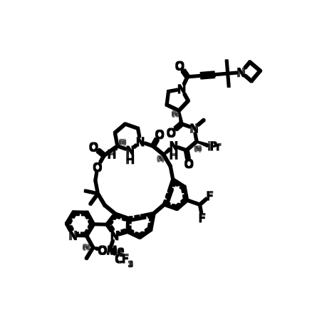 CO[C@@H](C)c1ncccc1-c1c2c3cc(ccc3n1CC(F)(F)F)-c1cc(cc(C(F)F)c1)C[C@H](NC(=O)[C@H](C(C)C)N(C)C(=O)[C@H]1CCN(C(=O)C#CC(C)(C)N3CCC3)C1)C(=O)N1CCC[C@H](N1)C(=O)OCC(C)(C)C2